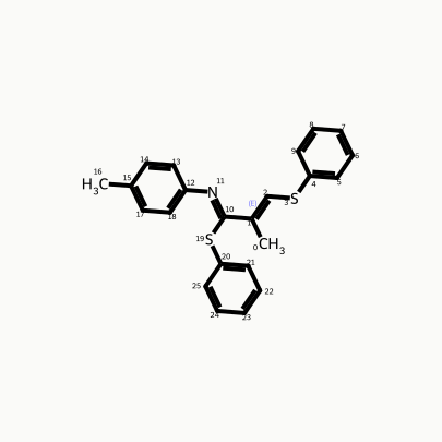 C/C(=C\Sc1ccccc1)C(=Nc1ccc(C)cc1)Sc1ccccc1